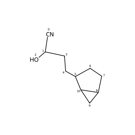 N#CC(O)CCC1CCC2CC12